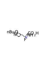 CCCCc1nc2ccc(CC/C(=C\F)CNC(=O)O)cc2o1